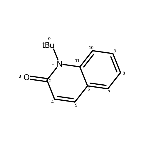 CC(C)(C)n1c(=O)ccc2ccccc21